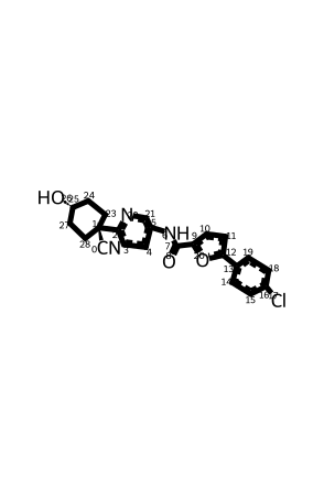 N#C[C@]1(c2ccc(NC(=O)c3ccc(-c4ccc(Cl)cc4)o3)cn2)CC[C@@H](O)CC1